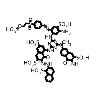 CN(c1ccc2c(c1)C=C(S(=O)(=O)O)C(=N)C2=O)c1nc(Nc2cc(N)c(S(=O)(=O)O)cc2/N=N/c2ccc(S(=O)(=O)CCOS(=O)(=O)O)cc2)nc(Nc2cc(S(=O)(=O)O)cc3c2C(=O)/C(=N\Nc2ccc4ccccc4c2S(=O)(=O)O)C(S(=O)(=O)O)=C3)n1